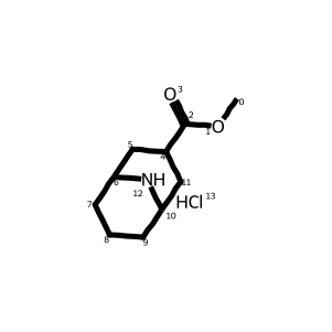 COC(=O)C1CC2CCCC(C1)N2.Cl